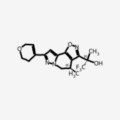 C[C@H]1Cn2nc(C3=CCOCC3)cc2-c2onc([C@@](C)(O)C(F)(F)F)c21